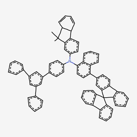 CC1(C)c2cc(N(c3ccc(-c4cc(-c5ccccc5)cc(-c5ccccc5)c4)cc3)c3ccc(-c4ccc5c(c4)C4(c6ccccc6-c6ccccc64)c4ccccc4-5)c4ccccc34)ccc2C2C=CC=CC21